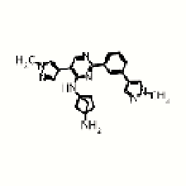 Cn1cc(-c2cccc(-c3ncc(-c4cnn(C)c4)c(NC45CCC(N)(C4)C5)n3)c2)cn1